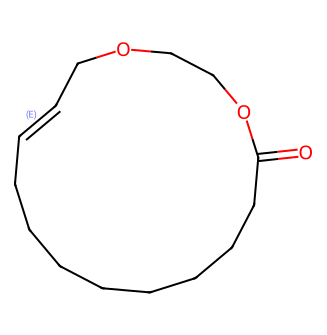 O=C1CCCCCCCC/C=C/COCCO1